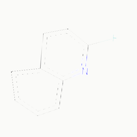 Fc1ccc2cc[c]cc2n1